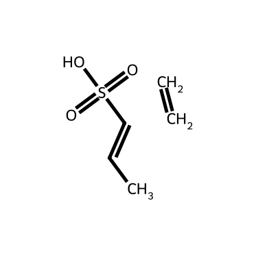 C=C.CC=CS(=O)(=O)O